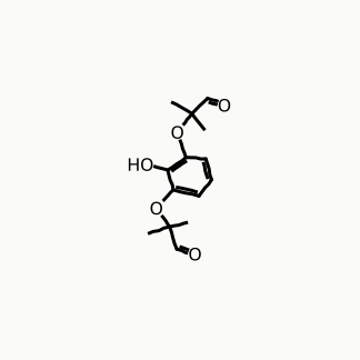 CC(C)(C=O)Oc1cccc(OC(C)(C)C=O)c1O